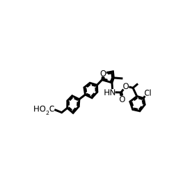 Cc1coc(-c2ccc(-c3ccc(CC(=O)O)cc3)cc2)c1NC(=O)OC(C)c1ccccc1Cl